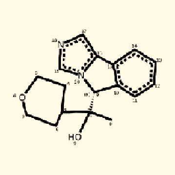 CC(O)(C1CCOCC1)[C@H]1c2ccccc2-c2cncn21